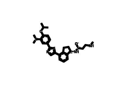 CNCC[S+]([O-])N[C@H]1CCc2c(-c3cnc(-c4ccc(OC(C)C)c(N(C)C)c4)s3)cccc21